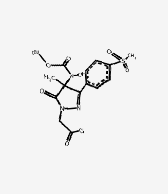 CC(C)(C)OC(=O)N(O)C1(C)C(=O)N(CC(=O)Cl)N=C1c1ccc(S(C)(=O)=O)cc1